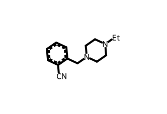 CCN1CCN(Cc2ccccc2C#N)CC1